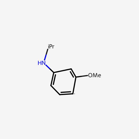 COc1[c]ccc(NC(C)C)c1